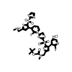 CN(Cc1cc(-c2cccnc2F)c(S(=O)(=O)c2nccs2)s1)C(=O)OC(C)(C)C.CNCc1cc(-c2cccnc2F)c(S(=O)(=O)c2nccs2)s1.Cl